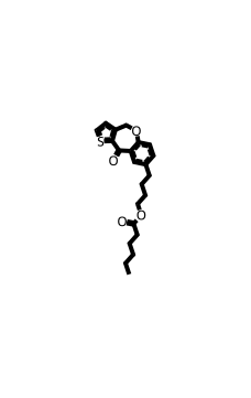 CCCCCC(=O)OCCCCc1ccc2c(c1)C(=O)c1sccc1CO2